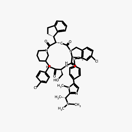 C[C@H](c1ncc(-c2ccc(Oc3cc(Cl)ccc3CN3C(=O)C[C@@H]([C@@H]4CCc5ccccc54)C(=O)N4CCC[C@@](Cc5ccc(Cl)cc5)(C4)NC(=O)[C@H](CO)NC(=O)[C@@H]3C)cc2)n1C)N(C)C